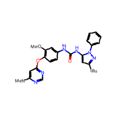 CNc1cc(Oc2ccc(NC(=O)Nc3cc(C(C)(C)C)nn3-c3ccccc3)cc2OC)ncn1